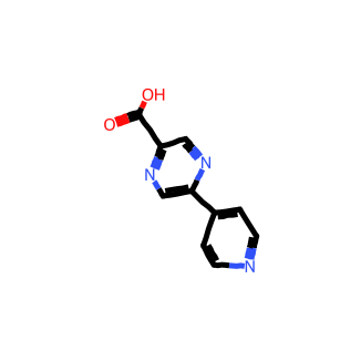 O=C(O)c1cnc(-c2ccncc2)cn1